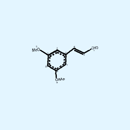 COc1cc(/C=C/C=O)cc(OC)c1